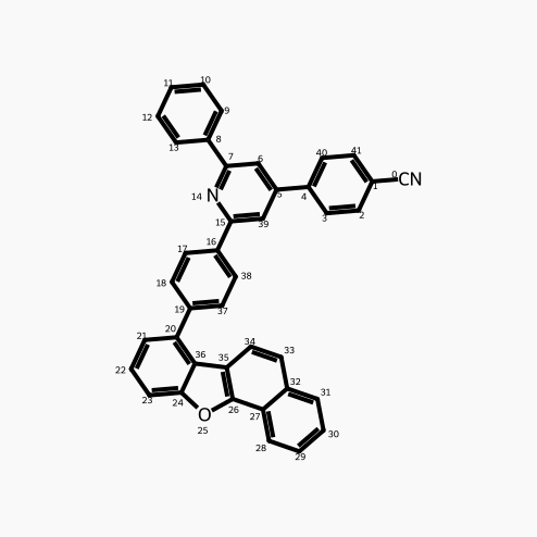 N#Cc1ccc(-c2cc(-c3ccccc3)nc(-c3ccc(-c4cccc5oc6c7ccccc7ccc6c45)cc3)c2)cc1